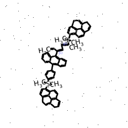 C=C/C(=C\C=C(/C)[Si](C)(C)c1ccc2c3c4c(ccc13)C=CCC4=CC2)c1c2ccccc2c(-c2ccc([Si](C)(C)c3ccc4c5c6c(ccc35)C=CCC6=CC4)cc2)c2ccccc12